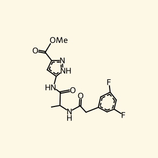 COC(=O)c1cc(NC(=O)C(C)NC(=O)Cc2cc(F)cc(F)c2)[nH]n1